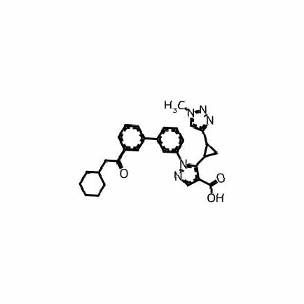 Cn1cc(C2CC2c2c(C(=O)O)cnn2-c2cccc(-c3cccc(C(=O)CC4CCCCC4)c3)c2)nn1